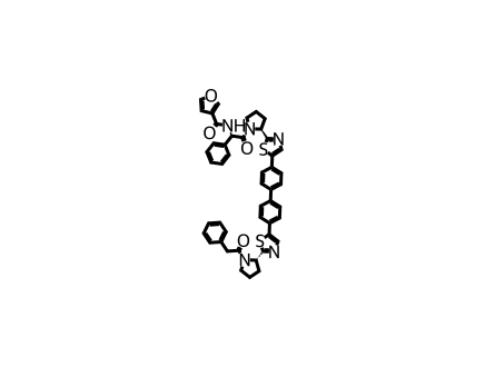 O=C(N[C@H](C(=O)N1CCC[C@H]1c1ncc(-c2ccc(-c3ccc(-c4cnc([C@@H]5CCCN5C(=O)Cc5ccccc5)s4)cc3)cc2)s1)c1ccccc1)c1ccoc1